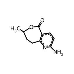 CC1CCc2nc(N)ccc2C(=O)O1